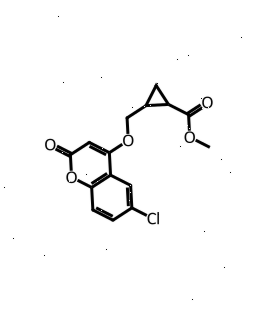 COC(=O)C1CC1COc1cc(=O)oc2ccc(Cl)cc12